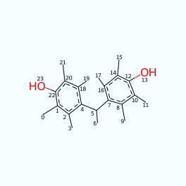 Cc1c(C)c(C(C)c2c(C)c(C)c(O)c(C)c2C)c(C)c(C)c1O